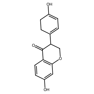 O=C1c2ccc(O)cc2OCC1C1=CC=C(O)CC1